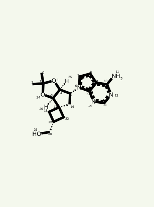 CC1(C)O[C@H]2[C@H](n3ccc4c(N)ncnc43)C[C@]3(C[C@@H](CO)C3)[C@H]2O1